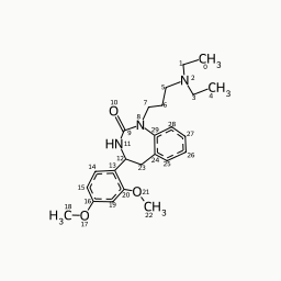 CCN(CC)CCCN1C(=O)NC(c2ccc(OC)cc2OC)Cc2ccccc21